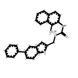 O=C(Nc1ccc2ccccc2c1C(=O)O)OCc1cc2cc(-c3ccccc3)ccc2o1